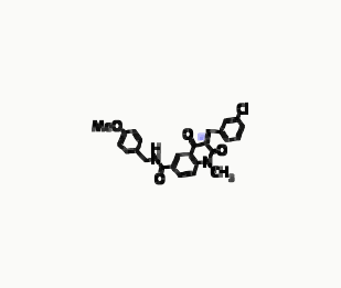 COc1ccc(CNC(=O)c2ccc3c(c2)C(=O)/C(=C/c2cccc(Cl)c2)C(=O)N3C)cc1